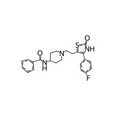 O=C(NC1CCN(CCc2sc(=O)[nH]c2-c2ccc(F)cc2)CC1)c1ccccc1